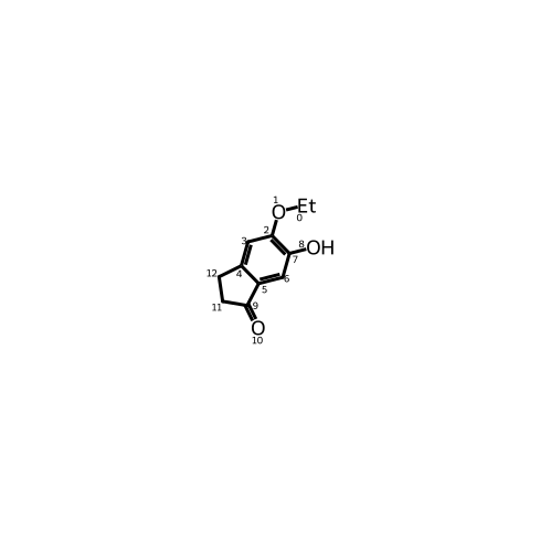 CCOc1cc2c(cc1O)C(=O)CC2